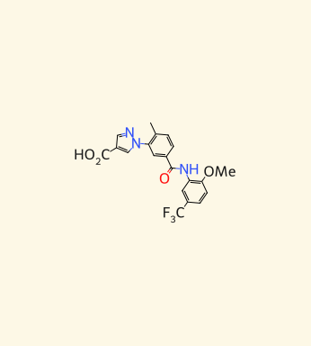 COc1ccc(C(F)(F)F)cc1NC(=O)c1ccc(C)c(-n2cc(C(=O)O)cn2)c1